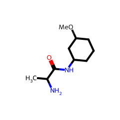 COC1CCCC(NC(=O)C(C)N)C1